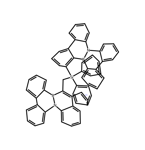 C/C=C\C1=C(C[Si](c2ccccc2)(c2ccccc2)c2cccc3c2B2c4ccccc4-c4ccccc4N2c2ccccc2-3)B2c3ccccc3-c3ccccc3N2c2ccccc21